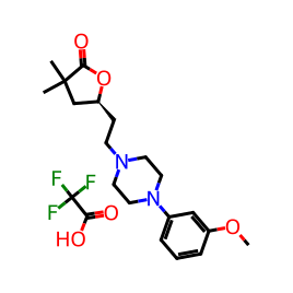 COc1cccc(N2CCN(CC[C@H]3CC(C)(C)C(=O)O3)CC2)c1.O=C(O)C(F)(F)F